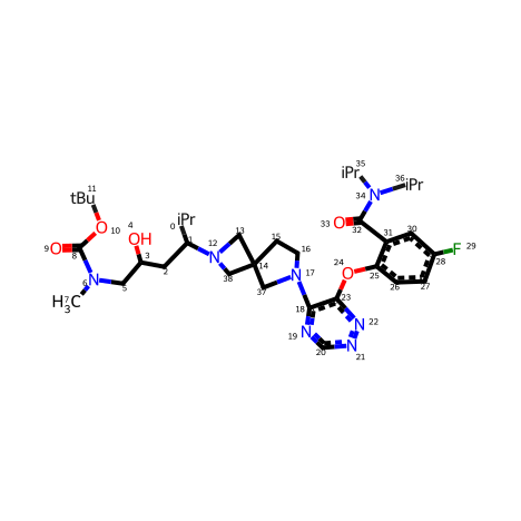 CC(C)C(CC(O)CN(C)C(=O)OC(C)(C)C)N1CC2(CCN(c3ncnnc3Oc3ccc(F)cc3C(=O)N(C(C)C)C(C)C)C2)C1